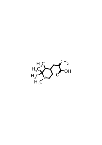 C=C(CC1CCN(C)C(C)(C)C1C)C(=O)O